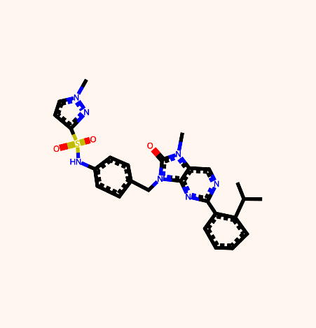 CC(C)c1ccccc1-c1ncc2c(n1)n(Cc1ccc(NS(=O)(=O)c3ccn(C)n3)cc1)c(=O)n2C